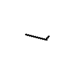 CCCCCCCCCCCCCCCCCCCC(C)CCCC